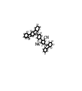 N#Cc1cc(-n2c3ccccc3c3ccccc32)cc(C#N)c1-c1ccc(-n2c3ccccc3c3cc4c(cc32)sc2ccccc24)cc1